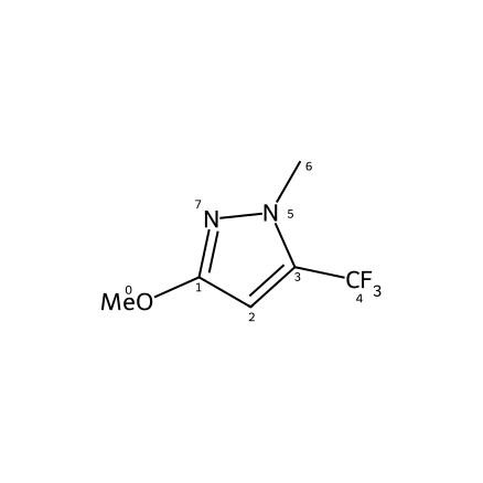 COc1cc(C(F)(F)F)n(C)n1